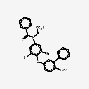 COc1ccc(Oc2c(Br)cc(N(CC(=O)O)C(=O)c3ccccc3)cc2Br)cc1-c1ccccc1